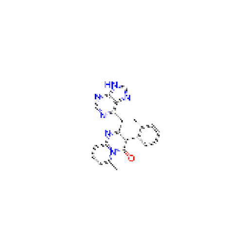 Cc1ccccc1-c1c(Cc2ncnc3[nH]cnc23)nc2cccc(C)n2c1=O